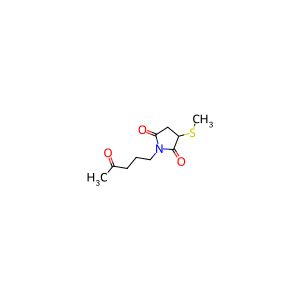 CSC1CC(=O)N(CCCC(C)=O)C1=O